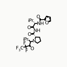 CC(C)C(C(=O)C(F)(F)C(F)(F)F)N1CCC[C@H]1C(=O)NC(=O)[C@@H](NC(=O)c1ccco1)C(C)C